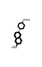 CCCCCC[C@H]1CC[C@H](c2ccc3cc(CCCC)ccc3c2)CC1